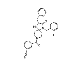 N#Cc1cccc(C(=O)N2CCC3(CC2)NC(Cc2ccccc2)C(=O)N3Cc2ccccc2F)c1